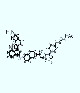 CC(=O)CCOCCN1CCN(C(=O)CN(C)CC(=O)N2CCc3cc(Cn4nc(-c5ccc6oc(N)nc6c5)c5c(N)ncnc54)ccc3C2)CC1